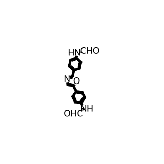 O=CNc1ccc(-c2cnc(-c3ccc(NC=O)cc3)o2)cc1